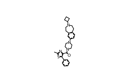 Cc1nc(C(=O)N2CCN(c3ccc4c(c3)CCN(C3CCC3)CC4)CC2)c(-c2ccccc2)s1